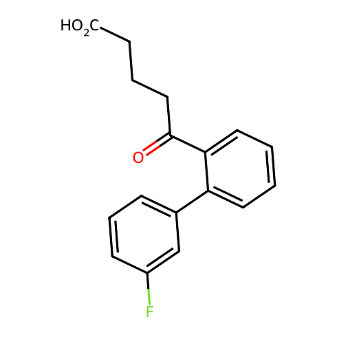 O=C(O)CCCC(=O)c1ccccc1-c1cccc(F)c1